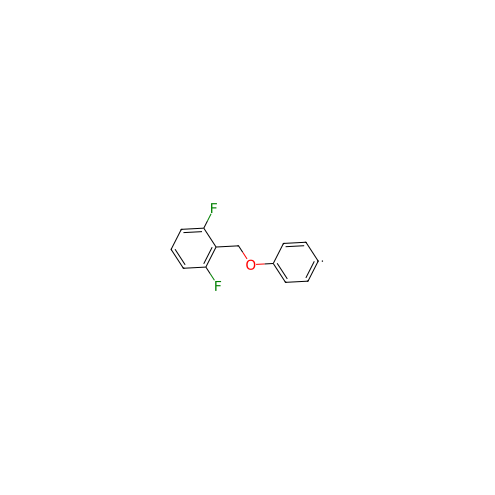 Fc1cccc(F)c1COc1cc[c]cc1